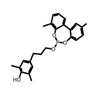 Cc1ccc2op(OCCCc3cc(C)c(O)c(C)c3)oc3c(C)cccc3c2c1